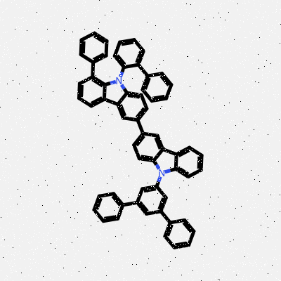 c1ccc(-c2cc(-c3ccccc3)cc(-n3c4ccccc4c4cc(-c5ccc6c(c5)c5cccc(-c7ccccc7)c5n6-c5ccccc5-c5ccccc5)ccc43)c2)cc1